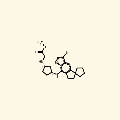 COC(=O)CN[C@H]1CC[C@H](Nc2c3c(nc4c(Br)cnn24)C2(CCCC2)CC3)C1